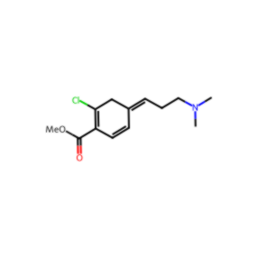 COC(=O)C1=C(Cl)CC(=CCCN(C)C)C=C1